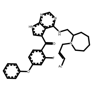 CC(=O)/C=C/CN1CCCCCC1CNc1ncnc2[nH]cc(C(=O)c3ccc(Oc4ccccc4)cc3F)c12